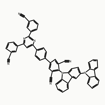 N#Cc1cccc(-c2cc(-c3ccc(-c4cc(C#N)c(-n5c6ccccc6c6cc(-n7c8ccccc8c8ccccc87)ccc65)c(C#N)c4)cc3)nc(-c3cccc(C#N)c3)n2)c1